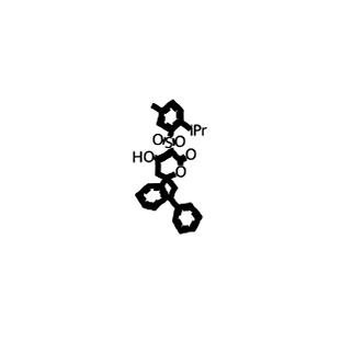 Cc1ccc(C(C)C)c(S(=O)(=O)C2=C(O)CC(CCc3ccccc3)(c3ccccc3)OC2=O)c1